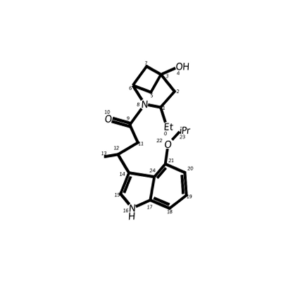 CCC1CC2(O)CC(C2)N1C(=O)CC(C)c1c[nH]c2cccc(OC(C)C)c12